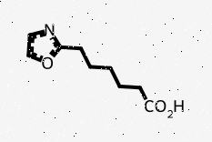 O=C(O)CCCCCc1ncco1